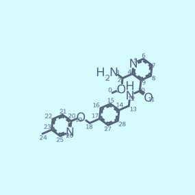 COC(N)c1ncccc1C(=O)NCc1ccc(COc2ccc(C)cn2)cc1